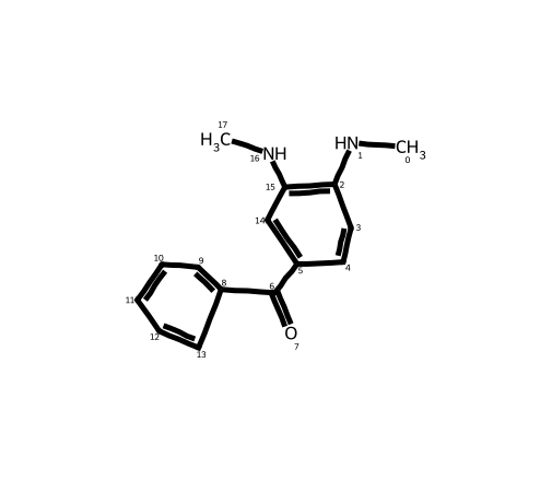 CNc1ccc(C(=O)c2ccccc2)cc1NC